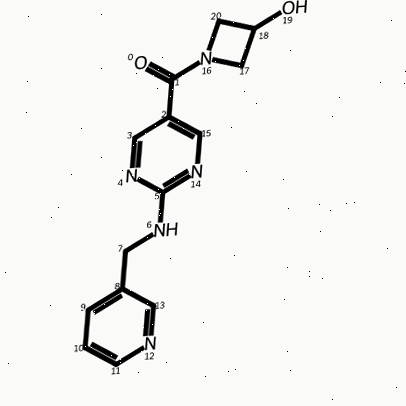 O=C(c1cnc(NCc2cccnc2)nc1)N1CC(O)C1